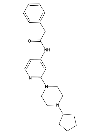 O=C(Cc1ccccc1)Nc1ccnc(N2CCN(C3CCCC3)CC2)c1